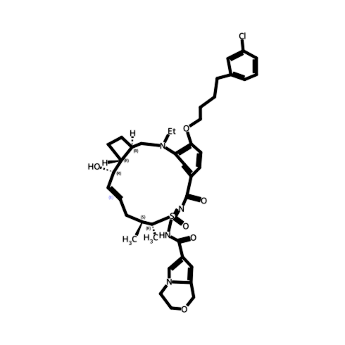 CCN1C[C@@H]2CC[C@H]2[C@@H](O)/C=C/C[C@H](C)[C@@H](C)S(=O)(NC(=O)c2cc3n(c2)CCOC3)=NC(=O)c2ccc(OCCCCc3cccc(Cl)c3)c1c2